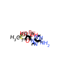 C[S+](C)C[C@H]1O[C@@H](n2cnc3c(N)ncnc32)[C@H](O)[C@@H]1O.[Br-]